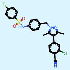 Cc1nn(Cc2ccc(NS(=O)(=O)c3ccc(F)cc3)cc2)c(C)c1-c1ccc(C#N)c(Cl)c1